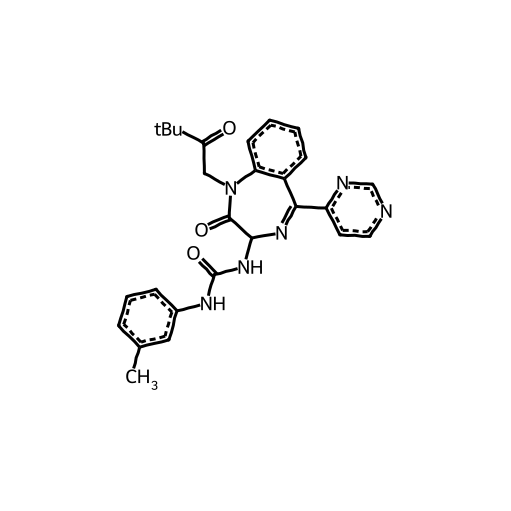 Cc1cccc(NC(=O)NC2N=C(c3ccncn3)c3ccccc3N(CC(=O)C(C)(C)C)C2=O)c1